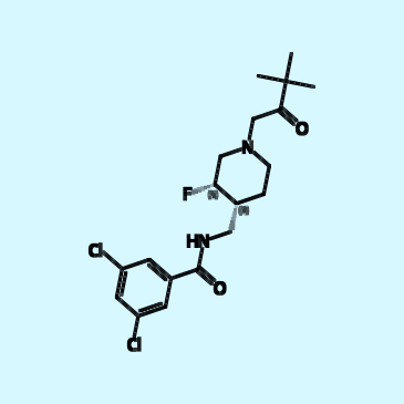 CC(C)(C)C(=O)CN1CC[C@H](CNC(=O)c2cc(Cl)cc(Cl)c2)[C@H](F)C1